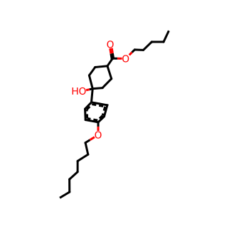 CCCCCCCOc1ccc(C2(O)CCC(C(=O)OCCCCC)CC2)cc1